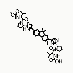 COC(=O)N[C@H](C(=O)N1CCC[C@H]1c1ncc(-c2ccc3c(c2)C(C)(C)c2cc(-c4cnc([C@@H]5CCCN5C(=O)[C@@H](NC(=O)O)C(C)C)[nH]4)ccc2-3)[nH]1)C(C)C